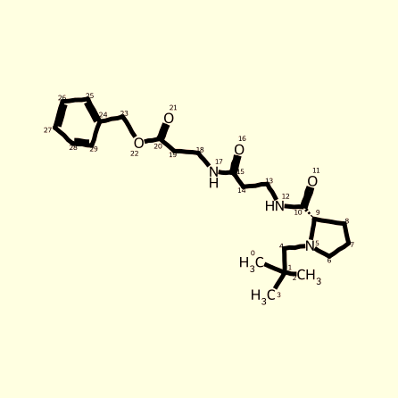 CC(C)(C)CN1CCC[C@H]1C(=O)NCCC(=O)NCCC(=O)OCc1ccccc1